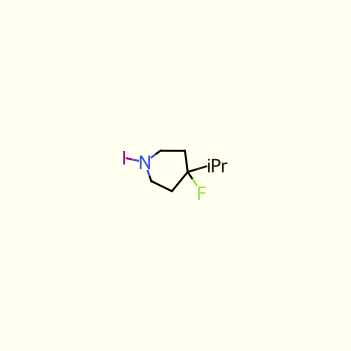 CC(C)C1(F)CCN(I)CC1